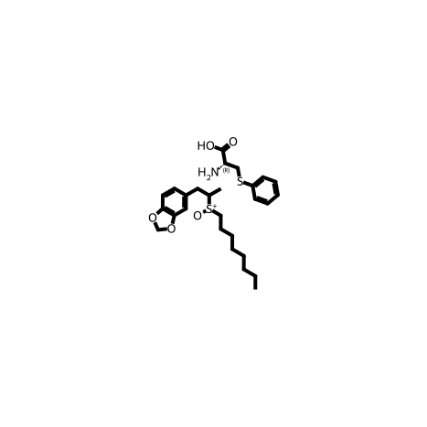 CCCCCCCC[S+]([O-])C(C)Cc1ccc2c(c1)OCO2.N[C@@H](CSc1ccccc1)C(=O)O